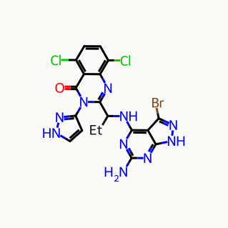 CCC(Nc1nc(N)nc2[nH]nc(Br)c12)c1nc2c(Cl)ccc(Cl)c2c(=O)n1-c1cc[nH]n1